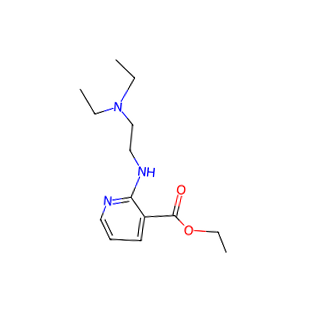 CCOC(=O)c1cccnc1NCCN(CC)CC